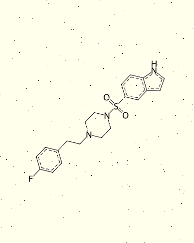 O=S(=O)(c1ccc2[nH]ccc2c1)N1CCN(CCc2ccc(F)cc2)CC1